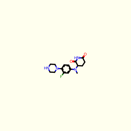 CN(c1ccc(N2CCNCC2)c(F)c1)C1CCC(=O)NC1=O